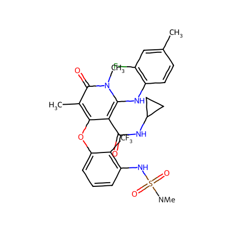 CNS(=O)(=O)Nc1cccc(Oc2c(C(=O)NC3CC3)c(Nc3ccc(C)cc3F)n(C)c(=O)c2C)c1C(F)(F)F